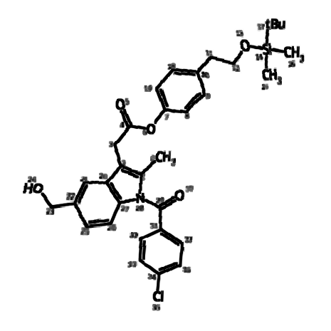 Cc1c(CC(=O)Oc2ccc(CCO[Si](C)(C)C(C)(C)C)cc2)c2cc(CO)ccc2n1C(=O)c1ccc(Cl)cc1